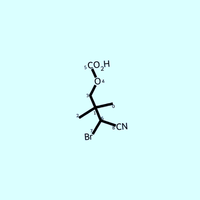 CC(C)(COC(=O)O)C(Br)C#N